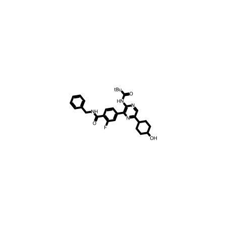 CC(C)(C)C(=O)Nc1ncc(C2CCC(O)CC2)nc1-c1ccc(C(=O)NCc2ccccc2)c(F)c1